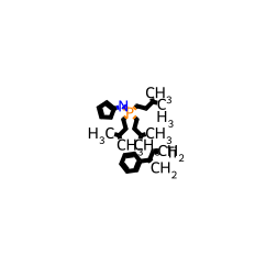 C=CC(=C)c1ccccc1.CC(C)CCP(CCC(C)C)(CCC(C)C)=NC1=CC=CC1.[Ti]